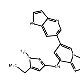 COCc1cc(Nc2cc(-c3cnc4cc[nH]c4c3)cn3ccnc23)nn1C